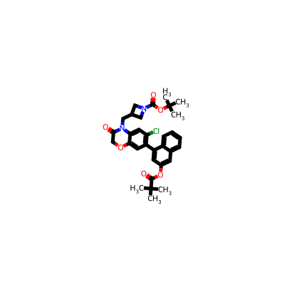 CC(C)(C)OC(=O)N1CC(CN2C(=O)COc3cc(-c4cc(OC(=O)C(C)(C)C)cc5ccccc45)c(Cl)cc32)C1